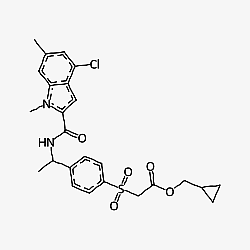 Cc1cc(Cl)c2cc(C(=O)NC(C)c3ccc(S(=O)(=O)CC(=O)OCC4CC4)cc3)n(C)c2c1